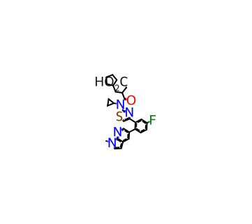 Cn1ccc2cc(-c3ccc(F)cc3-c3csc(N(C(=O)C(CC(=O)O)CC4CCCC4)C4CC4)n3)cnc21